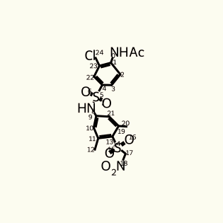 CC(=O)Nc1ccc(S(=O)(=O)Nc2cc(C)c(S(=O)(=O)C[N+](=O)[O-])c(C)c2)cc1Cl